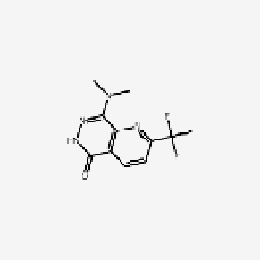 CN(C)c1n[nH]c(=O)c2ccc(C(C)(F)F)nc12